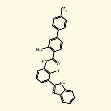 Cc1cc(-c2ccc(C(F)(F)F)cc2)ccc1C(=O)Nc1cccc(-c2nc3ccccc3[nH]2)c1Cl